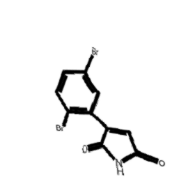 O=C1C=C(c2cc(Br)ccc2Br)C(=O)N1